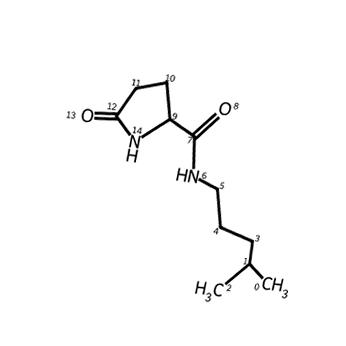 CC(C)CCCNC(=O)C1CCC(=O)N1